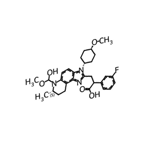 COC(O)N1c2ccc3c(nc(CC(C(=O)O)c4cccc(F)c4)n3[C@H]3CC[C@H](OC)CC3)c2CC[C@@H]1C